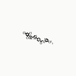 O=C(COc1cc(C(F)(F)F)ccn1)N1CCC(c2nc(C3=NOC(c4c(Cl)cc(Cl)cc4Cl)C3)cs2)CC1